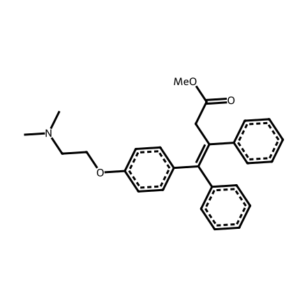 COC(=O)CC(=C(c1ccccc1)c1ccc(OCCN(C)C)cc1)c1ccccc1